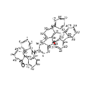 c1ccc(N(c2ccc3sc4c(C5(c6ccccc6)c6ccccc6-c6ccccc65)cccc4c3c2)c2cccc3oc4ccccc4c23)cc1